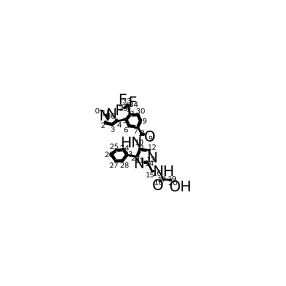 Cn1ccc(-c2cc(C(=O)Nc3cnc(CNC(=O)CO)nc3-c3ccccc3)ccc2C(F)(F)F)n1